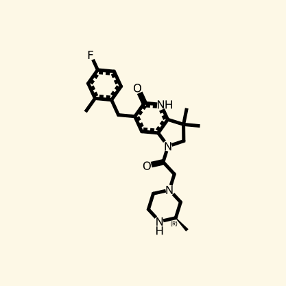 Cc1cc(F)ccc1Cc1cc2c([nH]c1=O)C(C)(C)CN2C(=O)CN1CCN[C@H](C)C1